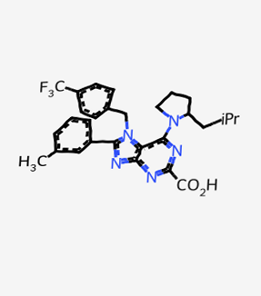 Cc1cccc(-c2nc3nc(C(=O)O)nc(N4CCCC4CC(C)C)c3n2Cc2ccc(C(F)(F)F)cc2)c1